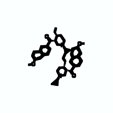 CC[C@@H]1CCN(C2CC2CC[C@H]2CCN(C3CC3)C[C@H]2C(=O)c2ccc3cc(OC)ccc3c2)C[C@@H]1C(=O)c1ccc2cc(OC)ccc2c1